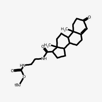 CC(C)(C)OC(=O)NCCNC(=O)C1CCC2C3CCC4=CC(=O)CCC4(C)C3CCC12C